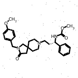 COC(=O)N[C@@H](CCN1CCC2(CC1)CC(=O)N(Cc1ccc(OC)cc1)C2)c1ccccc1